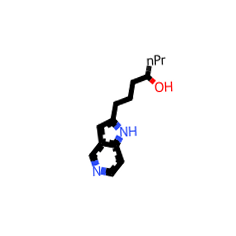 CCCC(O)CCCc1cc2cnccc2[nH]1